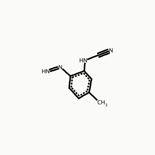 Cc1ccc(N=N)c(NC#N)c1